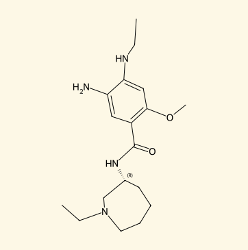 CCNc1cc(OC)c(C(=O)N[C@@H]2CCCCN(CC)C2)cc1N